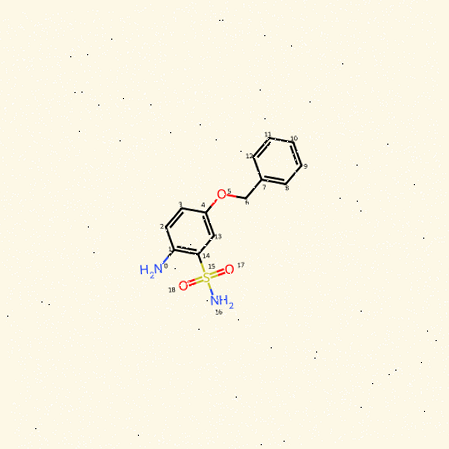 Nc1ccc(OCc2ccccc2)cc1S(N)(=O)=O